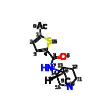 CC(=O)c1ccc(C(=O)N[C@H]2CN3CCC2CC3)s1